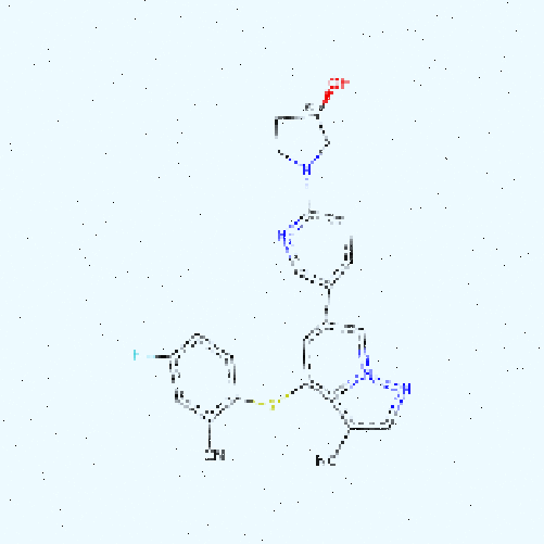 N#Cc1cc(F)ccc1Sc1cc(-c2ccc(N3CC[C@@H](O)C3)nc2)cn2ncc(C#N)c12